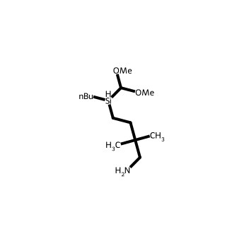 CCCC[SiH](CCC(C)(C)CN)C(OC)OC